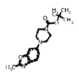 Cc1nc2ccc(N3CCN(C(=O)OC(C)(C)C)CC3)cc2o1